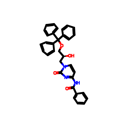 O=C(Nc1ccn(C[C@H](O)COC(c2ccccc2)(c2ccccc2)c2ccccc2)c(=O)n1)c1ccccc1